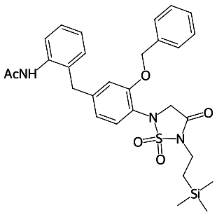 CC(=O)Nc1ccccc1Cc1ccc(N2CC(=O)N(CC[Si](C)(C)C)S2(=O)=O)c(OCc2ccccc2)c1